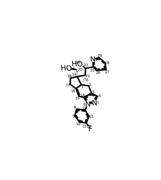 C[C@]12Cc3cnn(-c4cccc(F)c4)c3C=C1CC[C@@]2(CO)CC(O)c1ccccn1